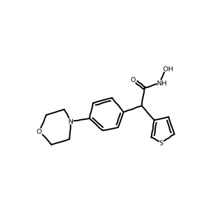 O=C(NO)C(c1ccc(N2CCOCC2)cc1)c1ccsc1